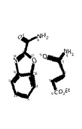 CCOC(=O)C=CC(N)=O.NC(=O)c1nc2ccccc2o1